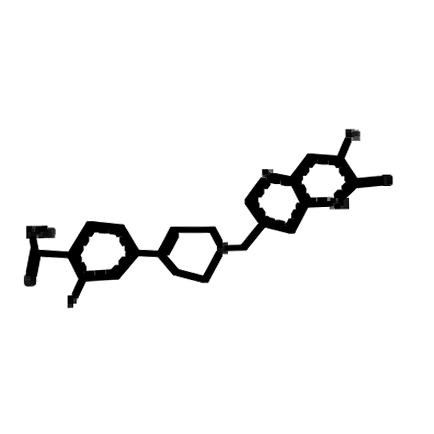 CCc1cc2ncc(CN3CC=C(c4ccc(C(=O)NC)c(F)c4)CC3)cc2[nH]c1=O